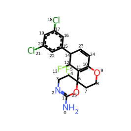 NC1=NC[C@@H](F)C2(CCOC3=C2C(F)C(c2cc(Cl)cc(Cl)c2)C=C3)O1